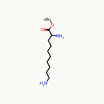 CCCCOC(=O)C(N)CCCCCCCCN